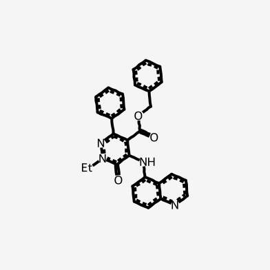 CCn1nc(-c2ccccc2)c(C(=O)OCc2ccccc2)c(Nc2cccc3ncccc23)c1=O